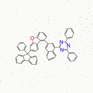 c1ccc(-c2nc(-c3ccccc3)nc(-c3cc(-c4cccc5oc6cc(C7(c8ccccc8)c8ccccc8-c8ccccc87)ccc6c45)cc4ccccc34)n2)cc1